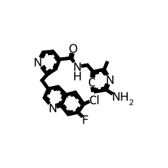 Cc1nc(N)ccc1CNC(=O)c1ccnc(Cc2cnc3cc(F)c(Cl)cc3c2)c1